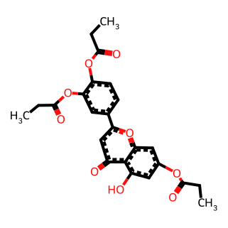 CCC(=O)Oc1cc(O)c2c(=O)cc(-c3ccc(OC(=O)CC)c(OC(=O)CC)c3)oc2c1